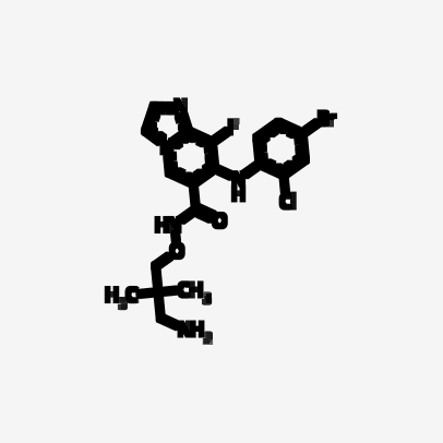 CC(C)(CN)CONC(=O)c1cn2ccnc2c(F)c1Nc1ccc(Br)cc1Cl